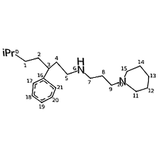 CC(C)CCC(CCNCCCN1CCCCC1)c1ccccc1